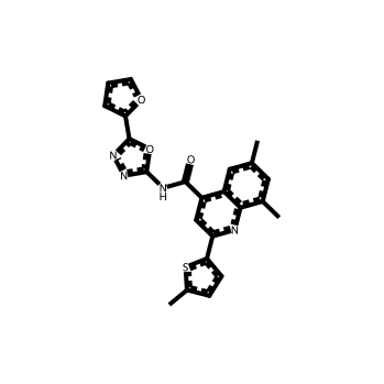 Cc1cc(C)c2nc(-c3ccc(C)s3)cc(C(=O)Nc3nnc(-c4ccco4)o3)c2c1